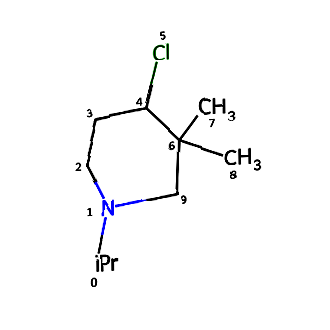 CC(C)N1CCC(Cl)C(C)(C)C1